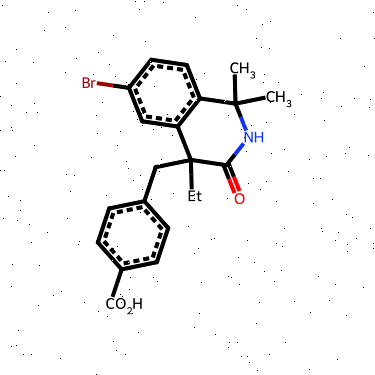 CCC1(Cc2ccc(C(=O)O)cc2)C(=O)NC(C)(C)c2ccc(Br)cc21